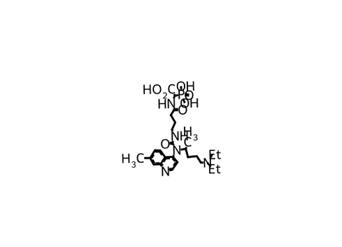 CCN(CC)CCCC(C)N(C(=O)NCCCC(=O)NC(C(=O)O)P(=O)(O)O)c1ccnc2cc(C)ccc12